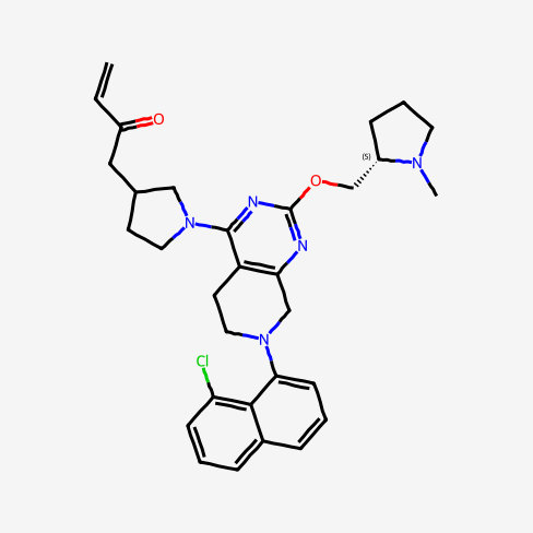 C=CC(=O)CC1CCN(c2nc(OC[C@@H]3CCCN3C)nc3c2CCN(c2cccc4cccc(Cl)c24)C3)C1